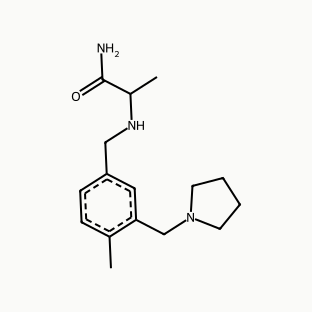 Cc1ccc(CNC(C)C(N)=O)cc1CN1CCCC1